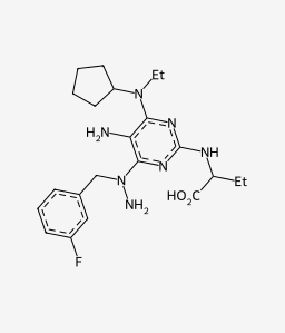 CCC(Nc1nc(N(N)Cc2cccc(F)c2)c(N)c(N(CC)C2CCCC2)n1)C(=O)O